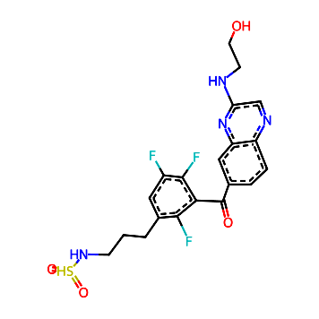 O=C(c1ccc2ncc(NCCO)nc2c1)c1c(F)c(F)cc(CCCN[SH](=O)=O)c1F